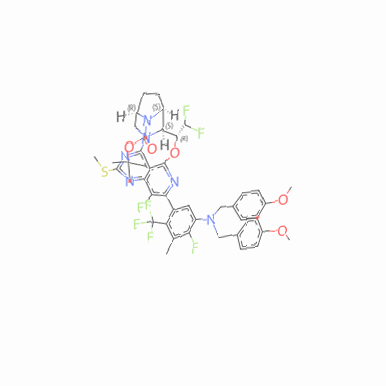 COc1ccc(CN(Cc2ccc(OC)cc2)c2cc(-c3nc4c5c(nc(SC)nc5c3F)N3C[C@H]5CC[C@@H]([C@H]3[C@H](C(F)F)O4)N5C(=O)OC(C)(C)C)c(C(F)(F)F)c(C)c2F)cc1